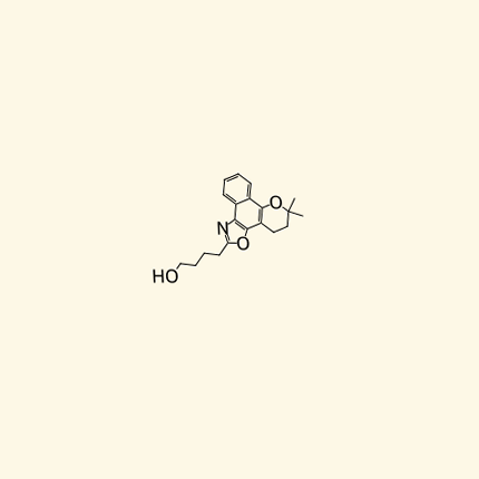 CC1(C)CCc2c(c3ccccc3c3nc(CCCCO)oc23)O1